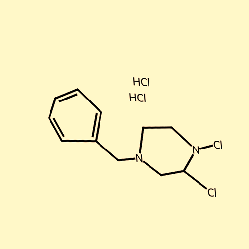 Cl.Cl.ClC1CN(Cc2ccccc2)CCN1Cl